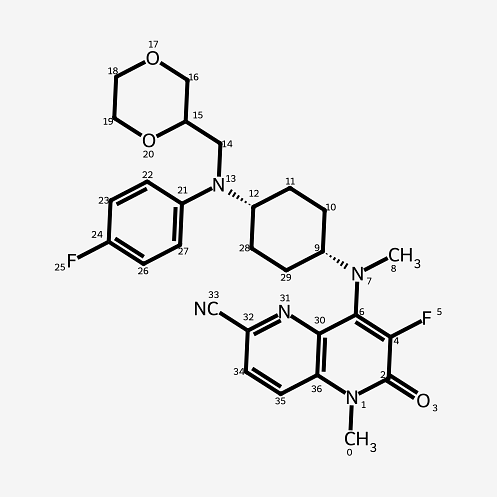 Cn1c(=O)c(F)c(N(C)[C@H]2CC[C@@H](N(CC3COCCO3)c3ccc(F)cc3)CC2)c2nc(C#N)ccc21